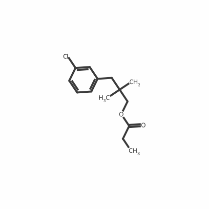 CCC(=O)OCC(C)(C)Cc1cccc(Cl)c1